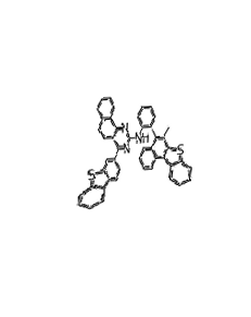 Cc1c(-c2ccccc2Nc2nc(-c3ccc4c(c3)sc3ccccc34)c3ccc4ccccc4c3n2)c2ccccc2c2c1sc1ccccc12